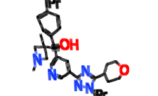 CC(C)c1ccc([C@](O)(c2cncc(-c3nc(C4CCOCC4)n(C(C)C)n3)c2)C2(C)CN(C)C2)cc1